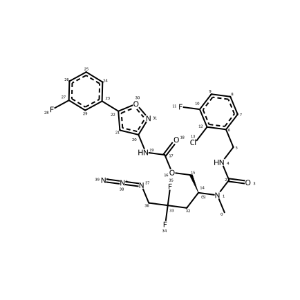 CN(C(=O)NCc1cccc(F)c1Cl)[C@H](COC(=O)Nc1cc(-c2cccc(F)c2)on1)CC(F)(F)CN=[N+]=[N-]